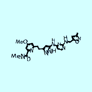 CNC(=O)c1cc(OC)cc(CCc2cc(Nc3ccnc(NCc4cc(C)no4)n3)[nH]n2)n1